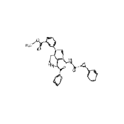 COC(=O)c1cccc(-c2ccc(CNC(=O)[C@@H]3C[C@H]3c3ccccc3)c3c2CCNC3C(=O)c2ccccn2)c1